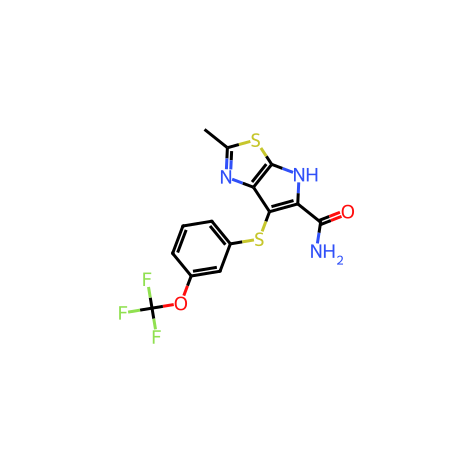 Cc1nc2c(Sc3cccc(OC(F)(F)F)c3)c(C(N)=O)[nH]c2s1